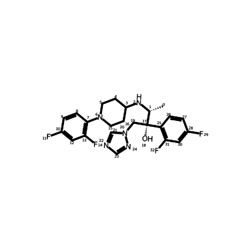 C[C@@H](NC1CCN(c2ccc(F)cc2F)CC1)[C@](O)(Cn1cncn1)c1ccc(F)cc1F